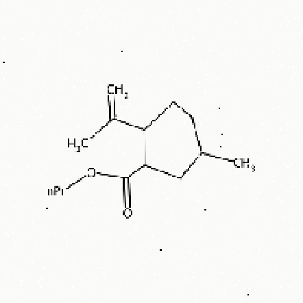 C=C(C)C1CCC(C)CC1C(=O)OCCC